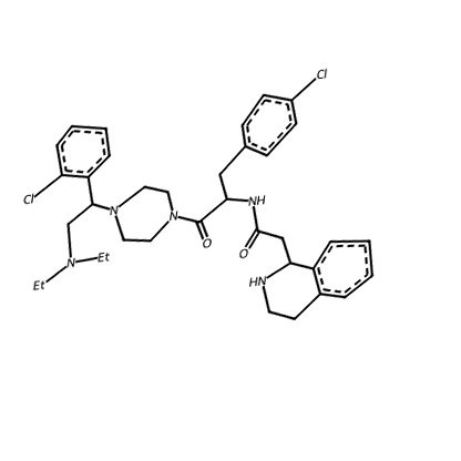 CCN(CC)CC(c1ccccc1Cl)N1CCN(C(=O)C(Cc2ccc(Cl)cc2)NC(=O)CC2NCCc3ccccc32)CC1